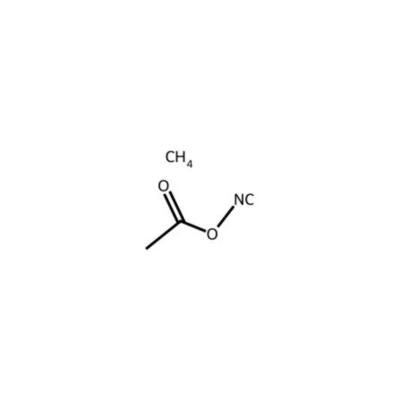 C.[C-]#[N+]OC(C)=O